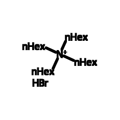 Br.CCCCCC[N+](CCCCCC)(CCCCCC)CCCCCC